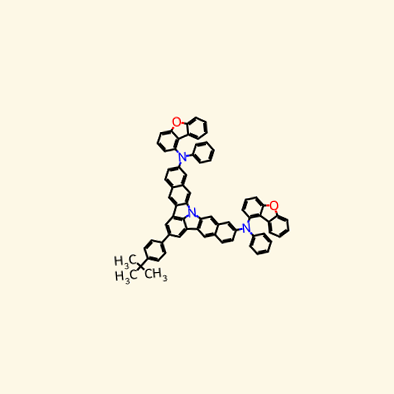 CC(C)(C)c1ccc(-c2cc3c4cc5ccc(N(c6ccccc6)c6cccc7oc8ccccc8c67)cc5cc4n4c5cc6cc(N(c7ccccc7)c7cccc8oc9ccccc9c78)ccc6cc5c(c2)c34)cc1